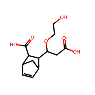 O=C(O)CC(OCCO)C1C2C=CC(C2)C1C(=O)O